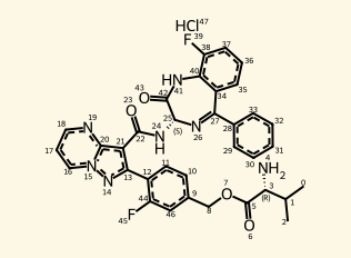 CC(C)[C@@H](N)C(=O)OCc1ccc(-c2nn3cccnc3c2C(=O)N[C@H]2N=C(c3ccccc3)c3cccc(F)c3NC2=O)c(F)c1.Cl